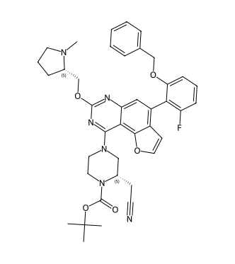 CN1CCC[C@H]1COc1nc(N2CCN(C(=O)OC(C)(C)C)[C@@H](CC#N)C2)c2c(cc(-c3c(F)cccc3OCc3ccccc3)c3ccoc32)n1